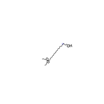 CCCOC(CCCCCCCCCCCCC/C=C\CCO)OCCC